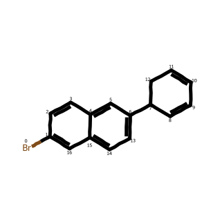 Brc1ccc2cc(C3C=CC=CC3)ccc2c1